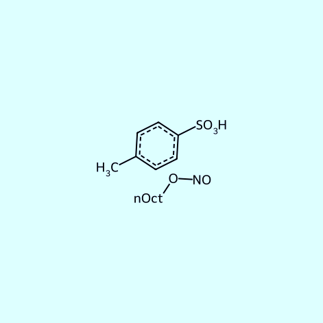 CCCCCCCCON=O.Cc1ccc(S(=O)(=O)O)cc1